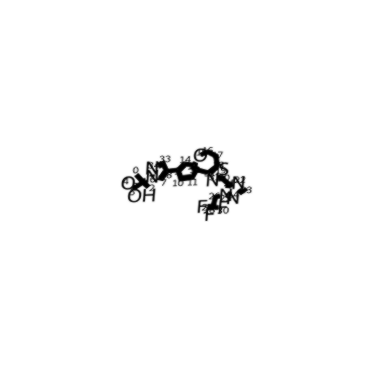 CC(C)(C(=O)O)n1cc(-c2ccc3c(c2)OCCc2sc(-c4ncnn4CC(F)(F)F)nc2-3)cn1